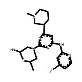 CCCC1CN(c2nc(Nc3cc(C(F)(F)F)ccn3)cc(C3CCCN(C)C3)n2)CC(C)O1